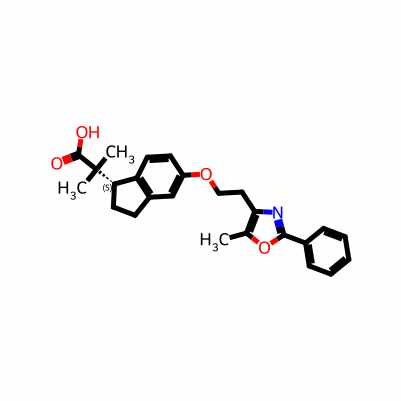 Cc1oc(-c2ccccc2)nc1CCOc1ccc2c(c1)CC[C@@H]2C(C)(C)C(=O)O